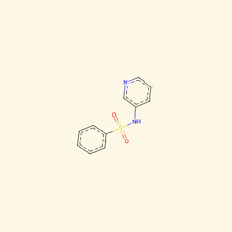 O=S(=O)(Nc1c[c]cnc1)c1ccccc1